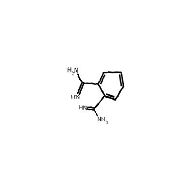 N=C(N)c1ccccc1C(=N)N